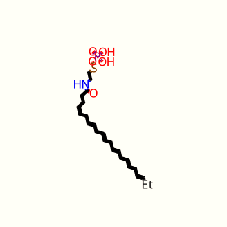 CCC=CCC=CCC=CCC=CCC=CC/C=C\CCC(=O)NCCSOP(=O)(O)O